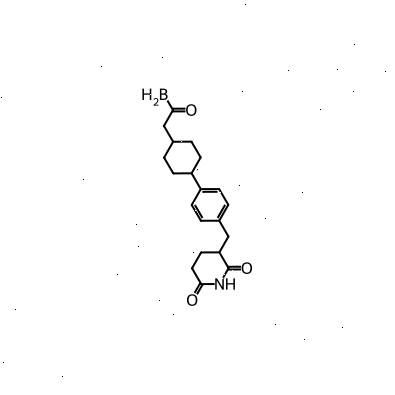 BC(=O)CC1CCC(c2ccc(CC3CCC(=O)NC3=O)cc2)CC1